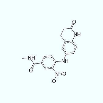 CNC(=O)c1ccc(Nc2ccc3c(c2)CCC(=O)N3)c([N+](=O)[O-])c1